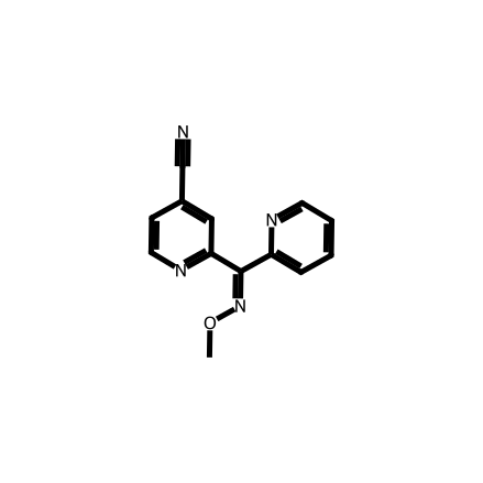 CON=C(c1ccccn1)c1cc(C#N)ccn1